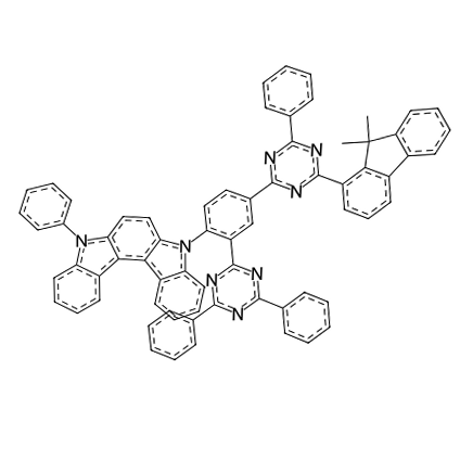 CC1(C)c2ccccc2-c2cccc(-c3nc(-c4ccccc4)nc(-c4ccc(-n5c6ccccc6c6c7c8ccccc8n(-c8ccccc8)c7ccc65)c(-c5nc(-c6ccccc6)nc(-c6ccccc6)n5)c4)n3)c21